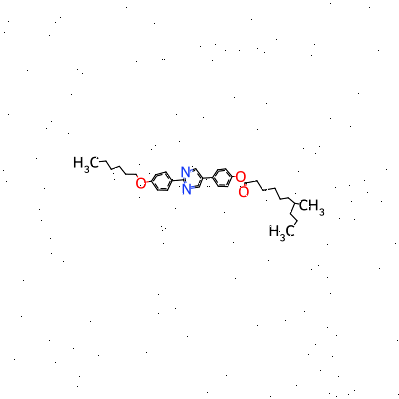 CCCCCCOc1ccc(-c2ncc(-c3ccc(OC(=O)CCCCCC(C)CCC)cc3)cn2)cc1